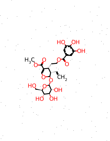 C=C[C@@H]1[C@@H](O[C@@H]2O[C@H](CO)[C@@H](O)[C@H](O)[C@H]2O)OC=C(C(=O)OC)[C@@H]1CCOC(=O)c1cc(O)c(O)c(O)c1